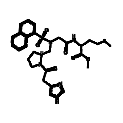 COC(=O)C(CCSC)NC(=O)CN(C[C@@H]1CCCN1C(=O)Cc1c[nH]cn1)S(=O)(=O)c1cccc2ccccc12